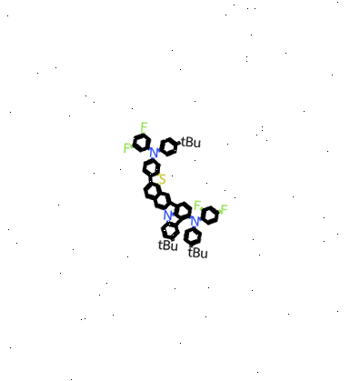 CC(C)(C)c1ccc(N(c2cc(F)cc(F)c2)c2ccc3c(c2)sc2c4cc5c6ccc(N(c7ccc(C(C)(C)C)cc7)c7ccc(F)cc7F)c7c8cc(C(C)(C)C)ccc8n(c5cc4ccc32)c67)cc1